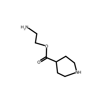 NCCOC(=O)C1CCNCC1